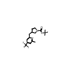 Cc1cc(C(F)(F)F)cc(CC2CCN(C(=O)OC(C)(C)C)C2)n1